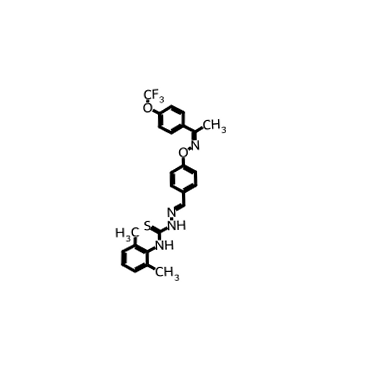 CC(=NOc1ccc(C=NNC(=S)Nc2c(C)cccc2C)cc1)c1ccc(OC(F)(F)F)cc1